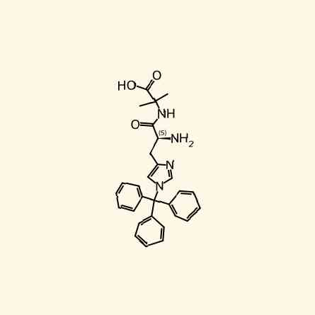 CC(C)(NC(=O)[C@@H](N)Cc1cn(C(c2ccccc2)(c2ccccc2)c2ccccc2)cn1)C(=O)O